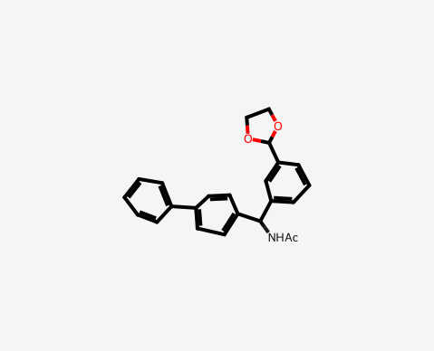 CC(=O)NC(c1ccc(-c2ccccc2)cc1)c1cccc(C2OCCO2)c1